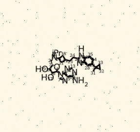 CC(C)N(C[C@H]1O[C@@H](n2cnc3c(N)ncnc32)[C@@H](O)[C@H]1O)C1CC(CCc2nc3cc(C4(C)CC4)ccc3[nH]2)C1